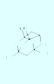 CC1OC2(C)CC3(C)OC(C)(CC1P3)O2